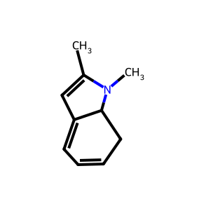 CC1=CC2=CC=CCC2N1C